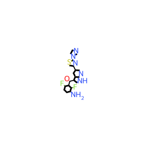 Nc1ccc(F)c(C(=O)c2c[nH]c3ncc(-c4csc(-n5ccnc5)n4)cc23)c1F